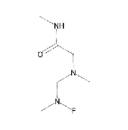 CNC(=O)CN(C)CN(C)F